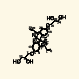 C=CCc1cc(OCC(O)CO)ccc1C(c1ccc(OCC(O)CO)cc1CC=C)(C(F)(F)F)C(F)(F)F